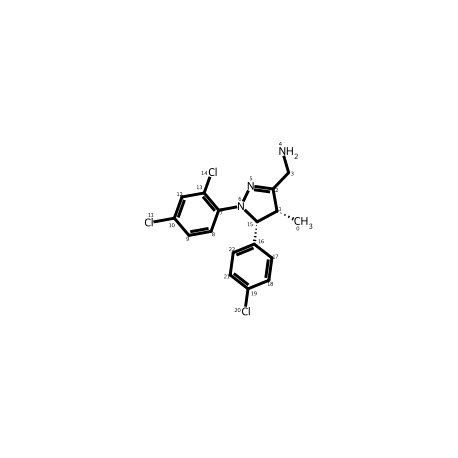 C[C@H]1C(CN)=NN(c2ccc(Cl)cc2Cl)[C@H]1c1ccc(Cl)cc1